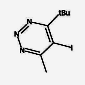 Cc1nnnc(C(C)(C)C)c1I